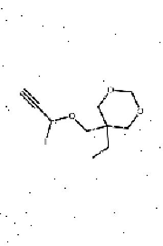 C#CC(I)OCC1(CC)COCOC1